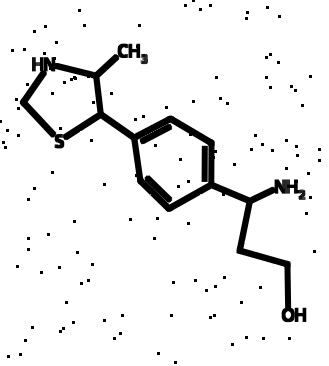 CC1NCSC1c1ccc(C(N)CCO)cc1